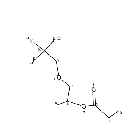 CCC(=O)OC(C)COCC(F)(F)F